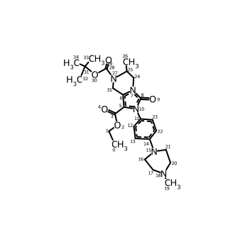 CCOC(=O)c1c2n(c(=O)n1-c1ccc(N3CCN(C)CC3)cc1)CC(C)N(C(=O)OC(C)(C)C)C2